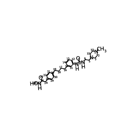 CN1CCN(CCNC(=O)Nc2cccc(CCCCc3ccc(CC(=O)NO)cc3)c2)CC1